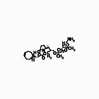 CC(/C=C1/CCC(=O)N1OC(=O)OC[C@@H]1[C@@H]2CCC#CCC[C@@H]21)COC(C)(C)CCOC(C)(C)CCN